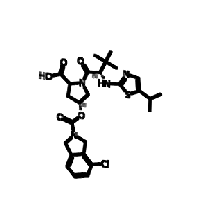 CC(C)c1cnc(N[C@H](C(=O)N2C[C@H](OC(=O)N3Cc4cccc(Cl)c4C3)CC2C(=O)O)C(C)(C)C)s1